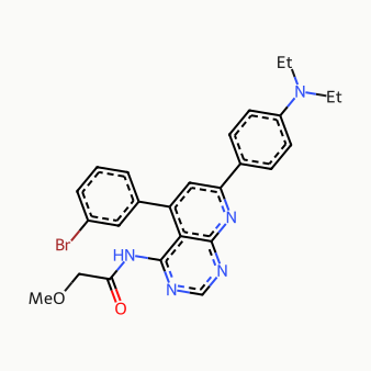 CCN(CC)c1ccc(-c2cc(-c3cccc(Br)c3)c3c(NC(=O)COC)ncnc3n2)cc1